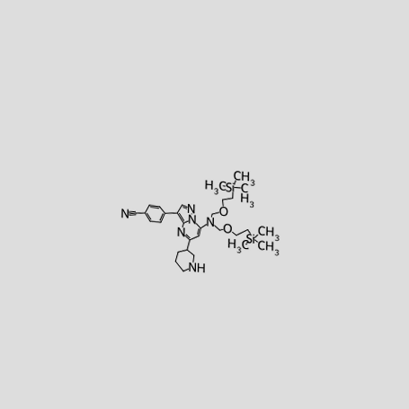 C[Si](C)(C)CCOCN(COCC[Si](C)(C)C)c1cc(C2CCCNC2)nc2c(-c3ccc(C#N)cc3)cnn12